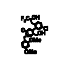 COc1ccc(Cn2cc(CO)c(-c3cc(Cl)ccc3CC(O)C(F)(F)F)cc2=O)c(OC)c1